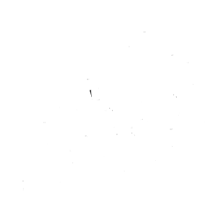 CCCCCCOC1CCC2C(=O)N3CCc4ccccc4C3CC2N1C(=O)N[C@H](C)c1ccccc1